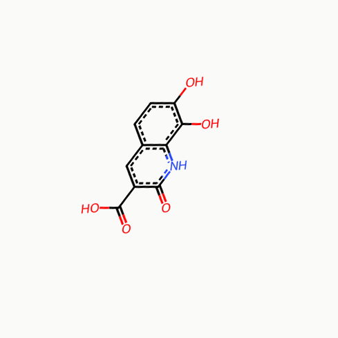 O=C(O)c1cc2ccc(O)c(O)c2[nH]c1=O